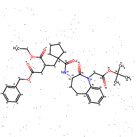 CCOC(=O)C(CC(=O)OCc1ccccc1)CC1(C(=O)N[C@H]2CCc3ccccc3N(CC(=O)OC(C)(C)C)C2=O)CCCC1